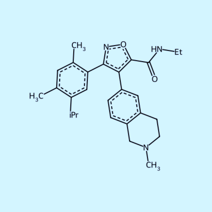 CCNC(=O)c1onc(-c2cc(C(C)C)c(C)cc2C)c1-c1ccc2c(c1)CCN(C)C2